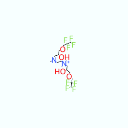 CN(CC[N+](C)(C)CC(O)COCC(F)(F)C(F)F)CC(O)COCC(F)(F)C(F)F